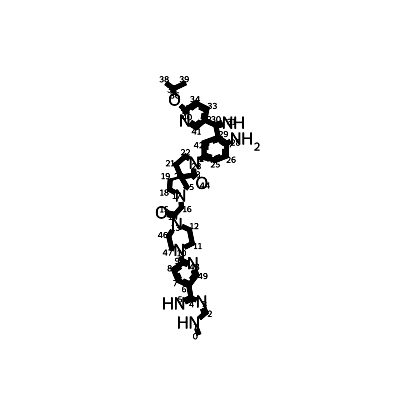 CN/C=N\C(=N)c1ccc(N2CCN(C(=O)CN3CC[C@]4(CCN(c5ccc(N)c(C(=N)c6ccc(OC(C)C)nc6)c5)C4=O)C3)CC2)nc1